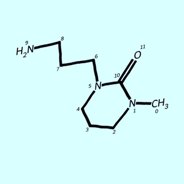 CN1CCCN(CCCN)C1=O